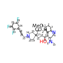 COc1ccc2ncc(N(C)C)c([C@@H](O)CCC3(CC(=O)O)CCN(CC#Cc4cc(F)cc(F)c4F)CC3)c2c1